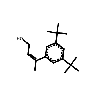 C/C(=C/CO)c1cc(C(C)(C)C)cc(C(C)(C)C)c1